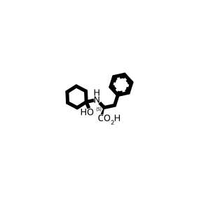 O=C(O)[C@H](Cc1ccccc1)NC1(O)CCCCC1